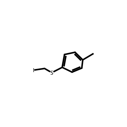 Cc1ccc(SCI)cc1